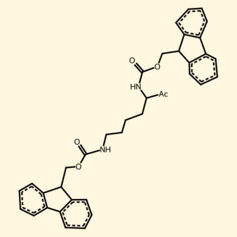 CC(=O)C(CCCCNC(=O)OCC1c2ccccc2-c2ccccc21)NC(=O)OCC1c2ccccc2-c2ccccc21